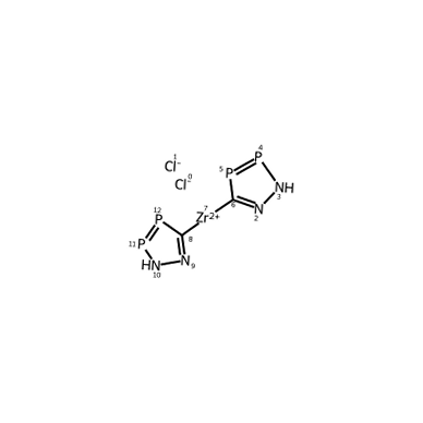 [Cl-].[Cl-].n1[nH]pp[c]1[Zr+2][c]1n[nH]pp1